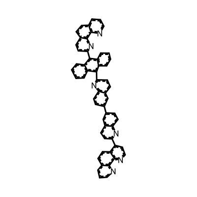 c1cnc2c(c1)ccc1ccc(-c3c4ccccc4c(-c4ccc5cc(-c6ccc7nc(-c8ccnc9c8ccc8cccnc89)ccc7c6)ccc5n4)c4ccccc34)nc12